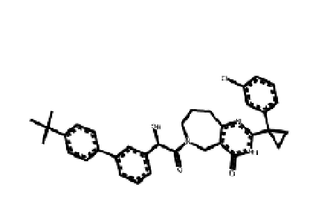 CC(C)(C)c1ccc(-c2cccc(C(O)C(=O)N3CCCc4nc(C5(c6cccc(Cl)c6)CC5)[nH]c(=O)c4C3)c2)cc1